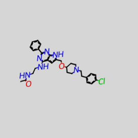 CC(=O)NCCNc1nc(-c2ccccc2)nc2[nH]c(COC3CCN(CCc4ccc(Cl)cc4)CC3)cc12